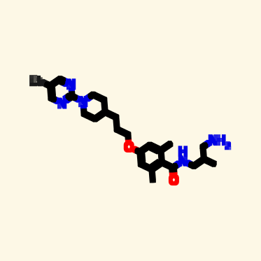 CCc1cnc(N2CCC(CCCOc3cc(C)c(C(=O)NCC(C)CN)c(C)c3)CC2)nc1